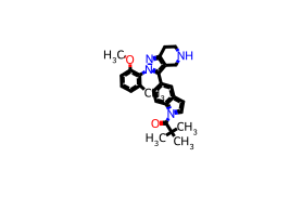 COc1cccc(C)c1-n1nc2c(c1-c1ccc3c(ccn3C(=O)C(C)(C)C)c1)CNCC2